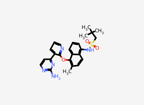 Cc1ccc2c(NS(=O)(=O)CC(C)(C)C)cccc2c1Oc1ncccc1-c1ccnc(N)n1